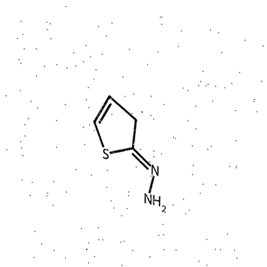 NN=C1CC=CS1